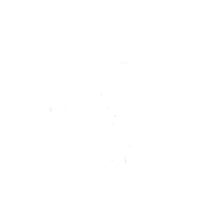 O=C(O)C1=CC([Si](c2ccc(C(=O)O)cc2)(c2ccc(C(=O)O)cc2)C2C=CC(C(=O)O)CC2)C=C1